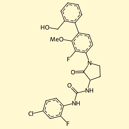 COc1c(-c2ccccc2CO)ccc(N2CCC(NC(=O)Nc3ccc(Cl)cc3F)C2=O)c1F